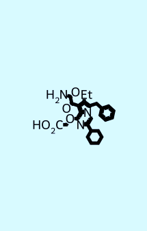 CCc1c(C(=O)C(N)=O)c2c(OCC(=O)O)nc(C3CCCCC3)cn2c1Cc1ccccc1